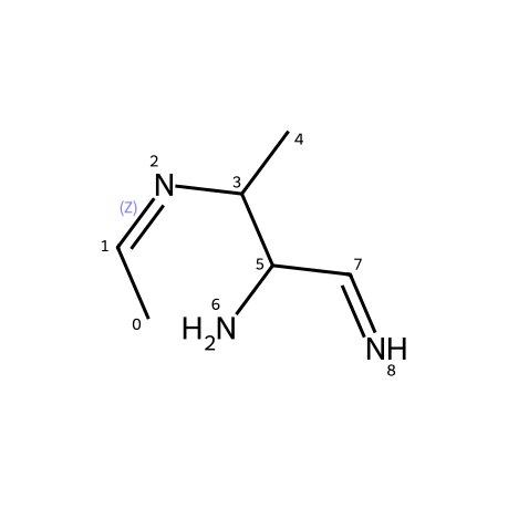 C/C=N\C(C)C(N)C=N